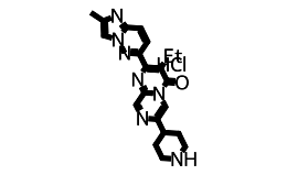 CCc1c(-c2ccc3nc(C)cn3n2)nc2cnc(C3CCNCC3)cn2c1=O.Cl